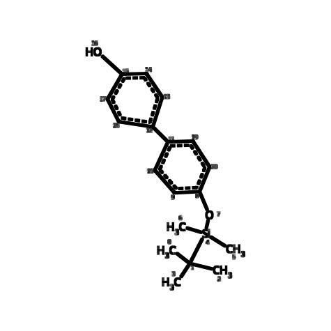 CC(C)(C)[Si](C)(C)Oc1ccc(-c2ccc(O)cc2)cc1